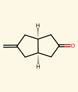 C=C1C[C@@H]2CC(=O)C[C@@H]2C1